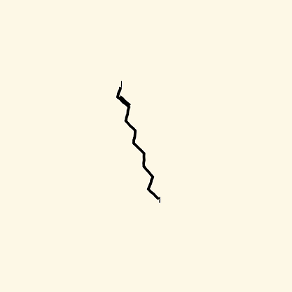 IC=CCCCCCCCI